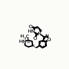 C[C@H]1C[C@H](Cc2ccc3onc(-n4ccc(=O)[nH]c4=O)c3c2)CCN1